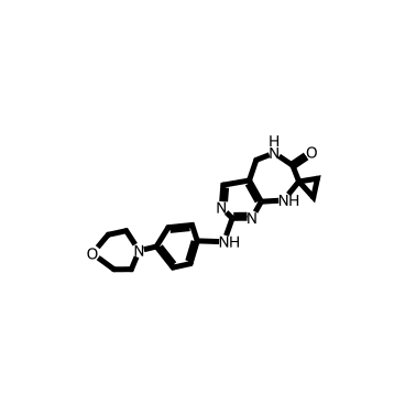 O=C1NCc2cnc(Nc3ccc(N4CCOCC4)cc3)nc2NC12CC2